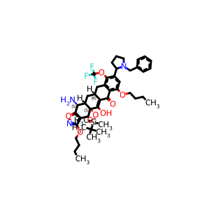 CCCCOc1cc(C2CCCN2Cc2ccccc2)c(OC(F)(F)F)c2c1C(=O)C1=C(O)[C@]3(O[Si](C)(C)C(C)(C)C)C(=O)c4c(OCCCC)noc4[C@@H](N)[C@@H]3C[C@@H]1C2